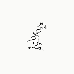 CCCc1cn(C)c2c(=O)[nH]c(-c3cc(S(=O)(=O)N4CCN(C(C(N)=O)C(C)(C)C)CC4)ccc3OCC)nc12